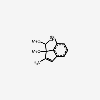 COC(C)C1(OC)C(C)=Cc2cccc(C(C)(C)C)c21